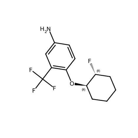 Nc1ccc(O[C@@H]2CCCC[C@H]2F)c(C(F)(F)F)c1